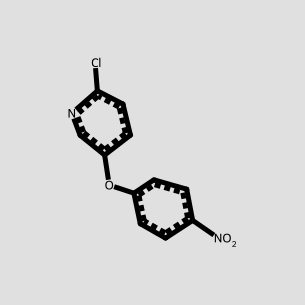 O=[N+]([O-])c1ccc(Oc2ccc(Cl)nc2)cc1